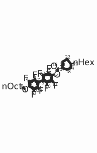 CCCCCCCCOc1c(F)c(F)c(-c2c(F)c(F)c(OC(=O)[C@H]3CC[C@H](CCCCCC)CC3)c(F)c2F)c(F)c1F